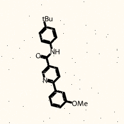 COc1cccc(-c2ccc(C(=O)Nc3ccc(C(C)(C)C)cc3)cn2)c1